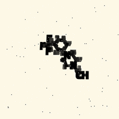 C#CN1CCN(c2cccc(C(F)(F)F)c2)CC1